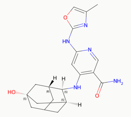 Cc1coc(Nc2cc(N[C@@H]3[C@@H]4CC5C[C@H]3C[C@@](O)(C5)C4)c(C(N)=O)cn2)n1